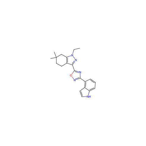 CCn1nc(-c2nc(-c3cccc4[nH]ccc34)no2)c2c1CC(C)(C)CC2